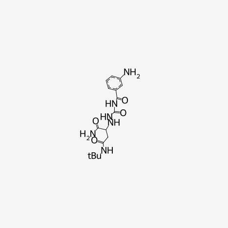 CC(C)(C)NC(=O)CC(NNC(=O)NC(=O)c1cccc(N)c1)C(N)=O